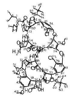 CN[C@@H](CC(C)C)C(=O)N[C@H]1C(=O)N[C@@H](CC(N)=O)C(=O)N[C@H]2C(=O)N[C@H]3C(=O)N[C@H](C(=O)N[C@@H](B(O)O)c4cc(OC)cc(OC)c4C4C(OC)=CC=C3C4C)C(O[Si](C)(C)C(C)(C)C)c3ccc(c(Cl)c3)Oc3cc2cc(c3OC)Oc2ccc(cc2Cl)C1O[Si](C)(C)C(C)(C)C